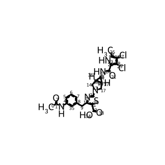 CC(=O)Nc1cccc(Cc2nc(N3C[C@@H]4[C@H](C3)[C@H]4NC(=O)c3[nH]c(C)c(Cl)c3Cl)sc2C(=O)O)c1